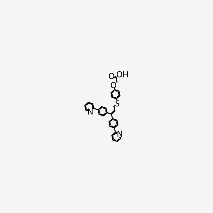 O=C(O)COc1ccc(SCC=C(c2ccc(-c3ccccn3)cc2)c2ccc(-c3ccccn3)cc2)cc1